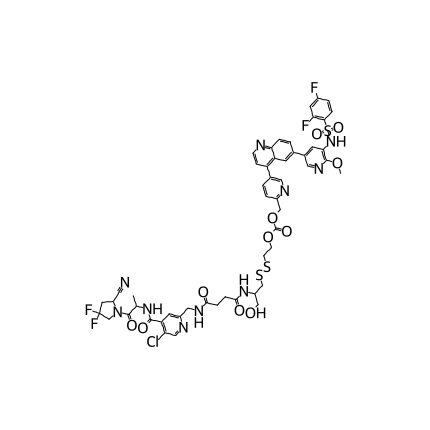 COc1ncc(-c2ccc3nccc(-c4ccc(COC(=O)OCCSSCC(CO)NC(=O)CCC(=O)NCc5cc(C(=O)NC(C)C(=O)N6CC(F)(F)CC6C#N)c(Cl)cn5)nc4)c3c2)cc1NS(=O)(=O)c1ccc(F)cc1F